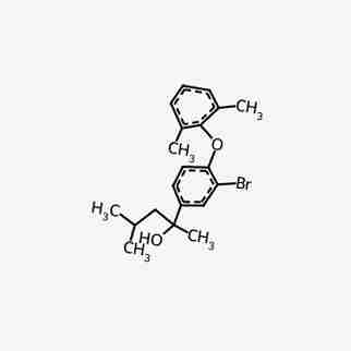 Cc1cccc(C)c1Oc1ccc(C(C)(O)CC(C)C)cc1Br